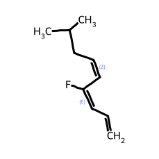 C=C/C=C(F)\C=C/CC(C)C